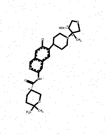 CC1(C)CC[C@H](C(=O)Nc2cc3cc(C4CCN([C@@]5(C)COC[C@H]5O)CC4)c(Cl)cc3cn2)CO1